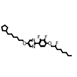 CCCCCCC(F)COc1ccc(-c2ncc(OCCCCCCC3CCCC3)cn2)c(F)c1F